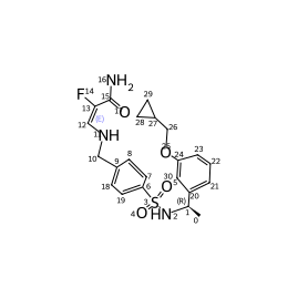 C[C@@H](NS(=O)(=O)c1ccc(CN/C=C(/F)C(N)=O)cc1)c1cccc(OCC2CC2)c1